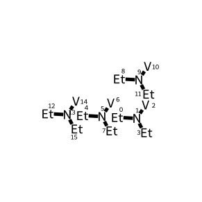 CC[N]([V])CC.CC[N]([V])CC.CC[N]([V])CC.CC[N]([V])CC